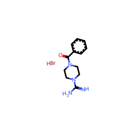 Br.N=C(N)N1CCN(C(=O)c2ccccc2)CC1